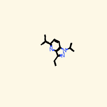 CCc1nn(C(C)C)c2ccc(C(C)C)nc12